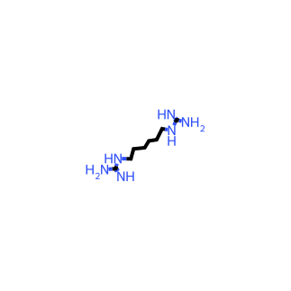 N=C(N)NCCCCCCNC(=N)N